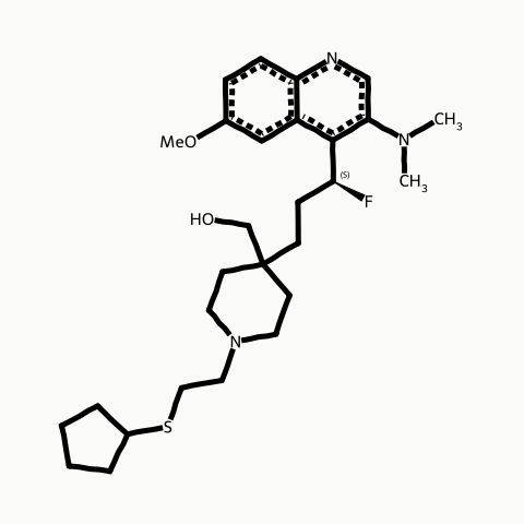 COc1ccc2ncc(N(C)C)c([C@@H](F)CCC3(CO)CCN(CCSC4CCCC4)CC3)c2c1